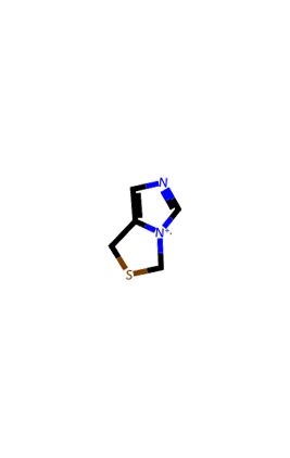 C1=NC=C2CSC[N+]12